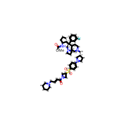 COC(=O)N[C@H]1CCC[C@@H]1[C@](CN1CCC1)(c1cccc(F)c1)C1CCN(C[C@@H]2CCN(c3ccc(S(=O)(=O)C4CN(C(=O)/C=C/CN5CCCCC5)C4)cc3)C2)CC1